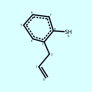 C=CCc1ccccc1S